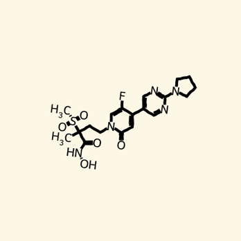 CC(CCn1cc(F)c(-c2cnc(N3CCCC3)nc2)cc1=O)(C(=O)NO)S(C)(=O)=O